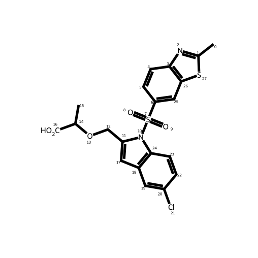 Cc1nc2ccc(S(=O)(=O)n3c(COC(C)C(=O)O)cc4cc(Cl)ccc43)cc2s1